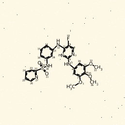 COc1cc(Nc2ncc(F)c(Nc3cccc(NS(=O)(=O)c4ccccn4)c3)n2)cc(OC)c1OC